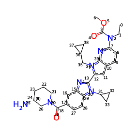 CCN(C(=O)OC)c1ccc2cc(-c3nc4cc(C(=O)N5CCC[C@@H](N)C5)ccc4n3C3CC3)n(CC3CC3)c2n1